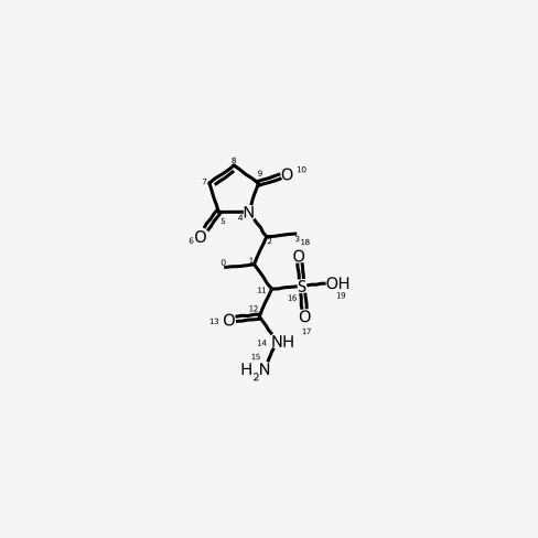 CC(C(C)N1C(=O)C=CC1=O)C(C(=O)NN)S(=O)(=O)O